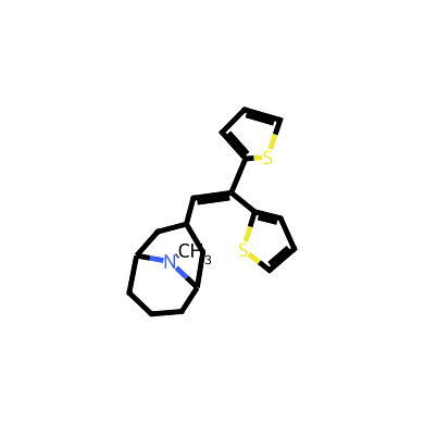 CN1C2CCCC1CC(C=C(c1cccs1)c1cccs1)C2